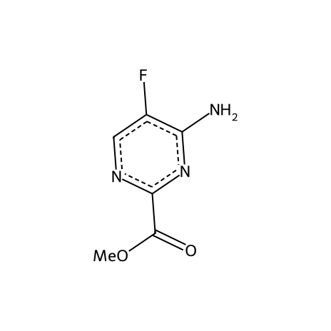 COC(=O)c1ncc(F)c(N)n1